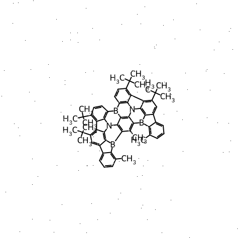 Cc1cccc2c1B1c3c(C)c4c5c6c3-n3c7c(ccc(C(C)(C)C)c7c7c(C(C)(C)C)cc-2c1c73)B6c1ccc(C(C)(C)C)c2c3c(C(C)(C)C)cc6c(c3n-5c12)B4c1c(C)cccc1-6